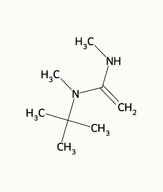 C=C(NC)N(C)C(C)(C)C